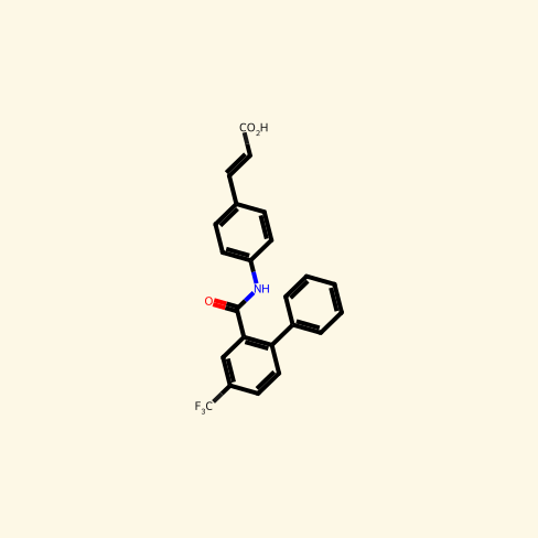 O=C(O)C=Cc1ccc(NC(=O)c2cc(C(F)(F)F)ccc2-c2ccccc2)cc1